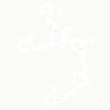 O=C(/C=C\C(=O)OCCN1CC(/C(=C/C(=O)OCCN2CCCC2=O)C(=O)NCCN2CCCC2=O)CC1=O)OCCN1CCCC1=O